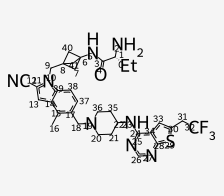 CC[C@@H](N)C(=O)NC12CC(Cn3c(C#N)cc4c(C)c(CN5CCC(Nc6ncnc7sc(CC(F)(F)F)cc67)CC5)ccc43)(C1)C2